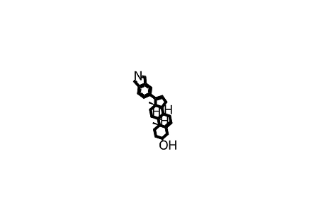 C[C@]12CC[C@H](O)CC1=CC[C@@H]1[C@@H]2CC[C@]2(C)C(c3ccc4c(c3)CN=C4)=CC[C@@H]12